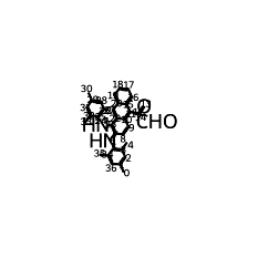 Cc1cc(C)c(Nc2ccc3c(C(=O)C=O)c4ccccc4cc3c2Nc2c(C)cc(C)cc2C)c(C)c1